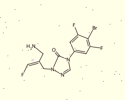 NC/C(=C/F)Cn1ncn(-c2cc(F)c(Br)c(F)c2)c1=O